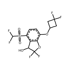 O=S(=O)(c1ccc(OC2CC(F)(F)C2)c2c1C(O)C(F)(F)O2)C(F)F